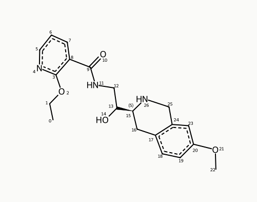 CCOc1ncccc1C(=O)NCC(O)[C@@H]1Cc2ccc(OC)cc2CN1